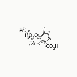 Cc1ccc(C(=O)O)c(CC(C)CCCC(C)C)c1C(=O)O